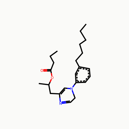 CCCCCCc1cccc(N2C=C(CC(C)OC(=O)CCC)N=CC2)c1